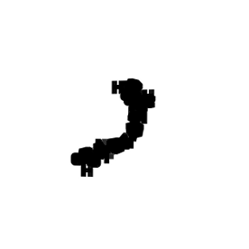 CC(C)Oc1cc2nc(C3CCC(CN4CC5(CCN(c6ncc(N7CCC(=O)NC7=O)cc6F)CC5)C4)CC3)cn2cc1C(=O)Nc1ccc[nH]c1=O